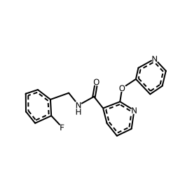 O=C(NCc1ccccc1F)c1cccnc1Oc1cccnc1